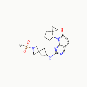 CS(=O)(=O)N1CC2(CC(Nc3ncc4ccc(=O)n([C@H]5CCCC56CC6)c4n3)C2)C1